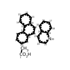 CC(=O)O.c1ccc2c(c1)ccc1ccccc12.c1ccc2ncccc2c1